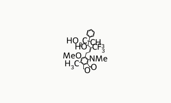 CNc1c(C/C=C(\C(O)C(C)(C(=O)O)c2ccccc2)C(F)(F)F)c(OC)c(C)c2c1C(=O)OC2